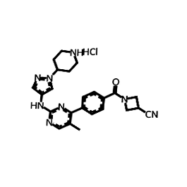 Cc1cnc(Nc2cnn(C3CCNCC3)c2)nc1-c1ccc(C(=O)N2CC(C#N)C2)cc1.Cl